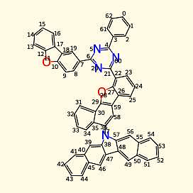 c1ccc(-c2nc(-c3ccc4oc5ccccc5c4c3)nc(-c3cccc4c3oc3c5ccccc5c(-n5c6cc7ccccc7cc6c6cc7ccccc7cc65)cc43)n2)cc1